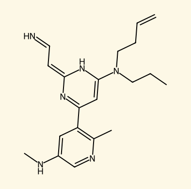 C=CCCN(CCC)C1=CC(c2cc(NC)cnc2C)=N/C(=C/C=N)N1